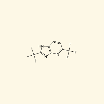 CC(F)(F)c1nc2nc(C(F)(F)F)ccc2[nH]1